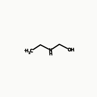 [CH2]CNCO